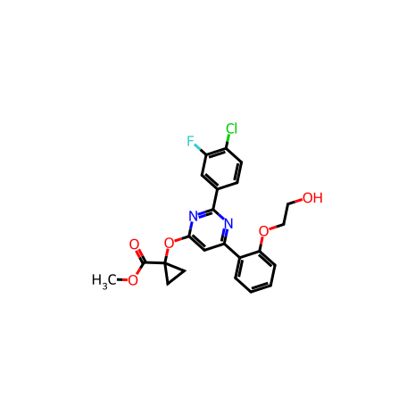 COC(=O)C1(Oc2cc(-c3ccccc3OCCO)nc(-c3ccc(Cl)c(F)c3)n2)CC1